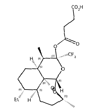 CC[C@@H]1CC[C@H]2[C@@H](C)[C@](OC(=O)CCC(=O)O)(C(F)(F)F)O[C@@H]3O[C@]4(C)CC[C@@H]1[C@]32OO4